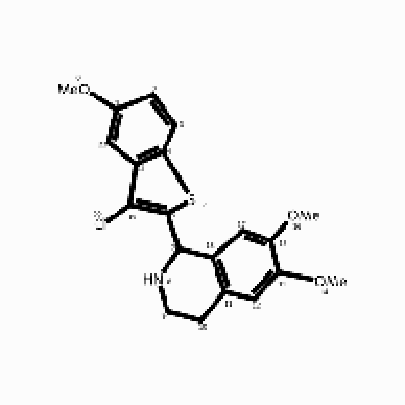 COc1ccc2sc(C3NCCc4cc(OC)c(OC)cc43)c(Cl)c2c1